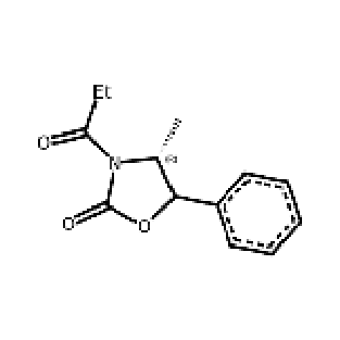 CCC(=O)N1C(=O)OC(c2ccccc2)[C@H]1C